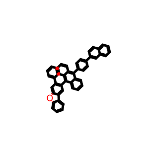 c1ccc(-c2cc3oc4ccccc4c3cc2-c2c3ccccc3c(-c3ccc(-c4ccc5ccccc5c4)cc3)c3ccccc23)cc1